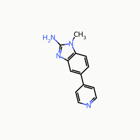 Cn1c(N)nc2cc(-c3ccncc3)ccc21